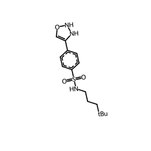 CC(C)(C)CCCNS(=O)(=O)c1ccc(C2=CONN2)cc1